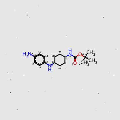 CC(C)(C)OC(=O)N[C@H]1CC[C@@H](Nc2ccc(N)cc2)CC1